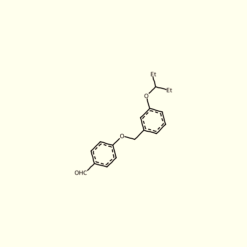 CCC(CC)Oc1cccc(COc2ccc(C=O)cc2)c1